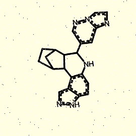 c1cn2ncc(C3Nc4ccc5[nH]ncc5c4C4C5CCC(C5)C34)cc2n1